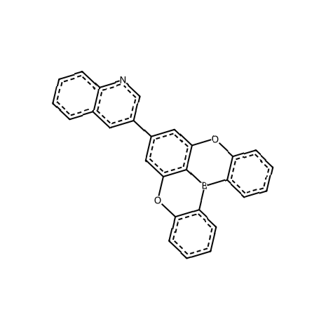 c1ccc2c(c1)Oc1cc(-c3cnc4ccccc4c3)cc3c1B2c1ccccc1O3